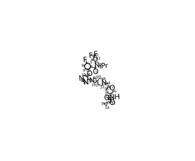 CC(C)N(C(=O)c1cc(F)ccc1Oc1cncnc1N1CC2(CCN(C[C@@H]3CC[C@@H](NS(=O)(=O)C4CC4)CO3)CC2)C1)C1CC(F)(F)C1